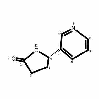 O=C1CC[C@@H](c2cccnc2)O1